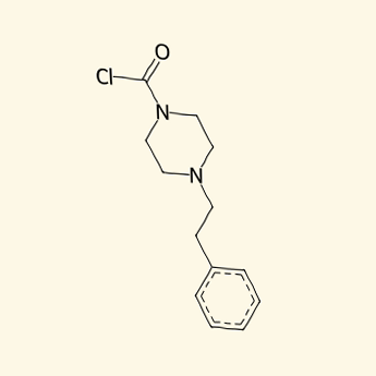 O=C(Cl)N1CCN(CCc2ccccc2)CC1